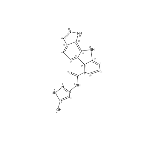 O=C(Nc1cc(O)[nH]n1)c1cccc2[nH]c3c(ccc4cn[nH]c43)c12